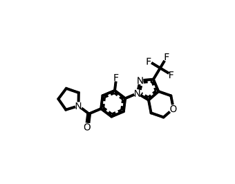 O=C(c1ccc(-n2nc(C(F)(F)F)c3c2CCOC3)c(F)c1)N1CCCC1